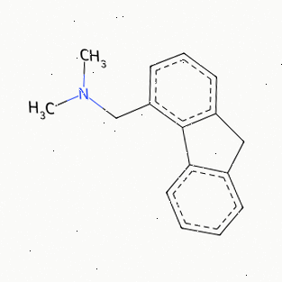 CN(C)Cc1cccc2c1-c1ccccc1C2